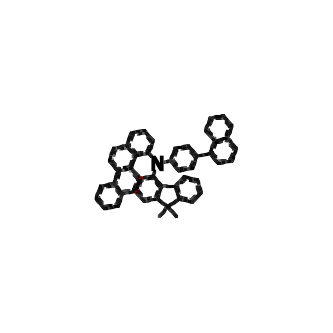 CC1(C)c2ccccc2-c2c(N(c3ccc(-c4cccc5ccccc45)cc3)c3cccc4ccc5c6ccccc6ccc5c34)cccc21